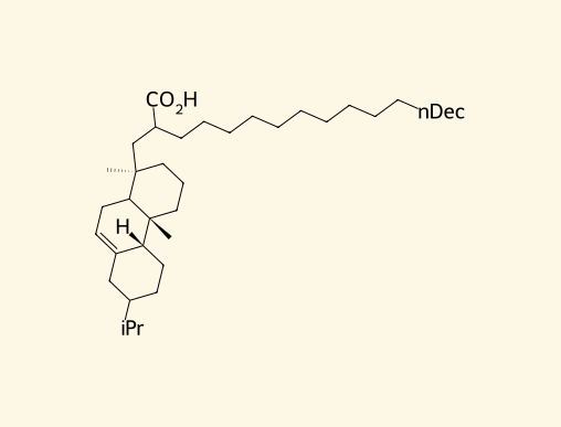 CCCCCCCCCCCCCCCCCCCCC(C[C@@]1(C)CCC[C@@]2(C)C1CC=C1CC(C(C)C)CC[C@H]12)C(=O)O